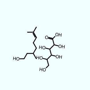 CC(C)=CCCC(C)CCO.O=C(O)C(O)C(O)C(O)C(O)CO